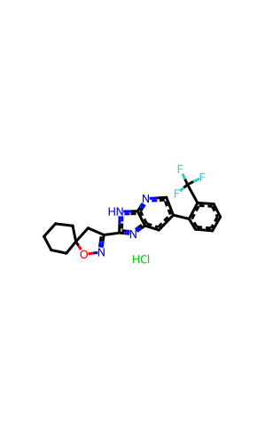 Cl.FC(F)(F)c1ccccc1-c1cnc2[nH]c(C3=NOC4(CCCCC4)C3)nc2c1